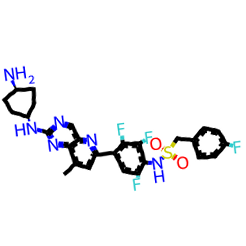 Cc1cc(-c2cc(F)c(NS(=O)(=O)Cc3ccc(F)cc3)c(F)c2F)nc2cnc(N[C@H]3CC[C@H](N)CC3)nc12